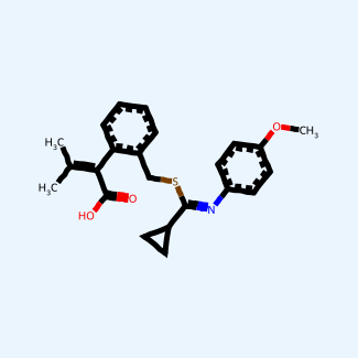 COc1ccc(N=C(SCc2ccccc2C(C(=O)O)=C(C)C)C2CC2)cc1